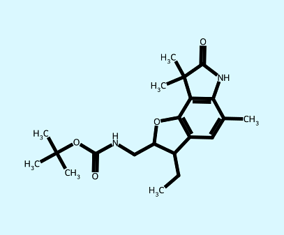 CCC1c2cc(C)c3c(c2OC1CNC(=O)OC(C)(C)C)C(C)(C)C(=O)N3